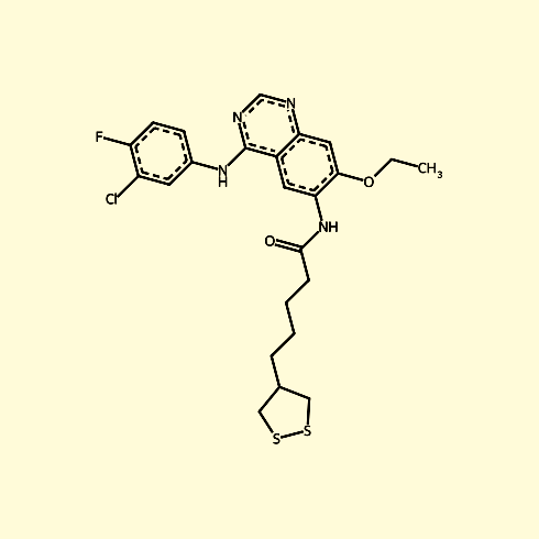 CCOc1cc2ncnc(Nc3ccc(F)c(Cl)c3)c2cc1NC(=O)CCCCC1CSSC1